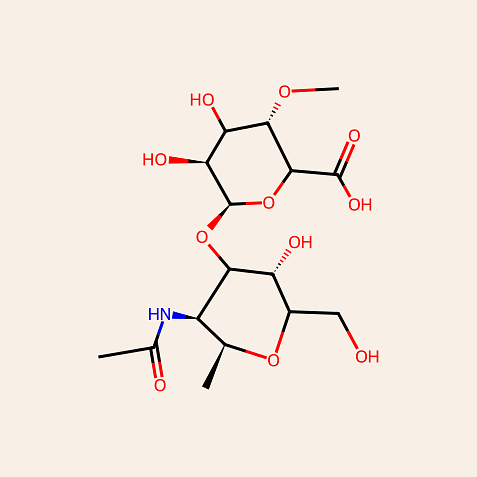 CO[C@@H]1C(C(=O)O)O[C@@H](OC2[C@H](O)C(CO)O[C@@H](C)[C@H]2NC(C)=O)[C@@H](O)C1O